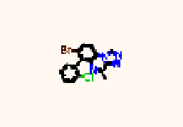 Cc1nc2c(-c3ccccc3Cl)c(Br)ccc2n2cnnc12